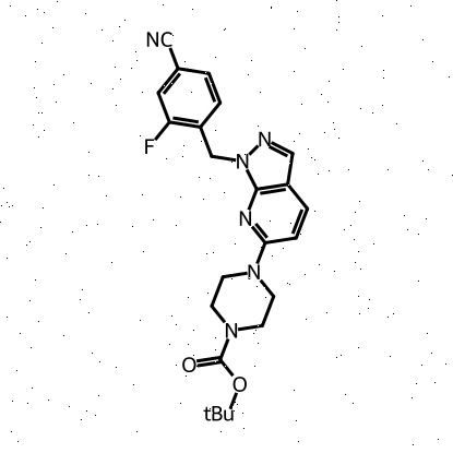 CC(C)(C)OC(=O)N1CCN(c2ccc3cnn(Cc4ccc(C#N)cc4F)c3n2)CC1